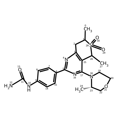 CC1Cc2nc(-c3ccc(NC(N)=O)cc3)nc(N3CCOC[C@@H]3C)c2C(C)S1(=O)=O